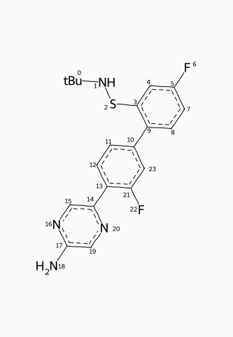 CC(C)(C)NSc1cc(F)ccc1-c1ccc(-c2cnc(N)cn2)c(F)c1